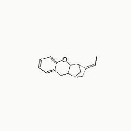 C/C=C1/CC2CC1C1Oc3ccccc3CC21